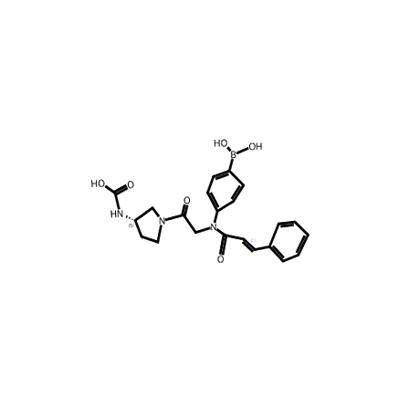 O=C(O)N[C@H]1CCN(C(=O)CN(C(=O)/C=C/c2ccccc2)c2ccc(B(O)O)cc2)C1